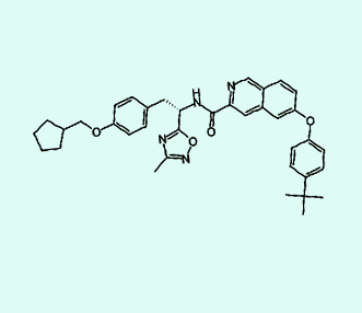 Cc1noc([C@H](Cc2ccc(OCC3CCCC3)cc2)NC(=O)c2cc3cc(Oc4ccc(C(C)(C)C)cc4)ccc3cn2)n1